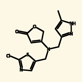 Cc1cc(CN(Cc2cnc(Cl)s2)C2=CC(=O)OC2)n[nH]1